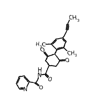 CC#Cc1cc(C)c(C2C(=O)CC(C(=O)NC(=O)c3ccccn3)CC2=O)c(C)c1